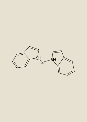 C1=C[SH](S[SH]2C=Cc3ccccc32)c2ccccc21